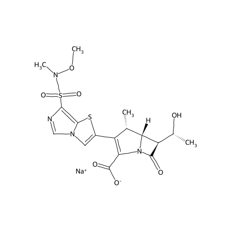 CON(C)S(=O)(=O)c1ncn2cc(C3=C(C(=O)[O-])N4C(=O)[C@H]([C@@H](C)O)[C@H]4[C@H]3C)sc12.[Na+]